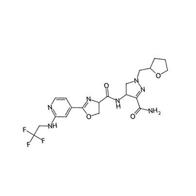 NC(=O)C1=NN(CC2CCCO2)CC1NC(=O)C1COC(c2ccnc(NCC(F)(F)F)c2)=N1